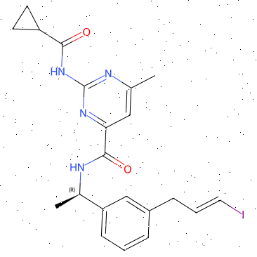 Cc1cc(C(=O)N[C@H](C)c2cccc(CC=CI)c2)nc(NC(=O)C2CC2)n1